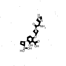 N[C@H](C(=O)N1CC(Oc2ccc([C@H]3CC[C@H]3B(O)O)c(O)c2C(=O)O)C1)c1c[nH]cn1